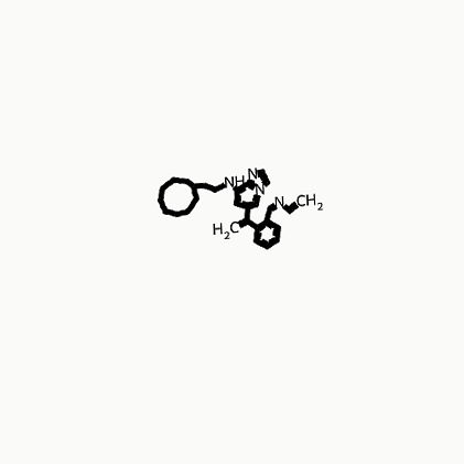 C=C/N=C\c1ccccc1C(=C)c1cc(NCCC2CCCCCCCC2)c2nccn2c1